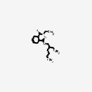 CCCCC(CC)COC(=O)C1CC=CCC1C(=O)OCC